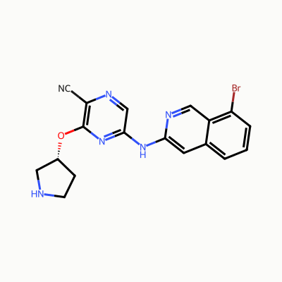 N#Cc1ncc(Nc2cc3cccc(Br)c3cn2)nc1O[C@@H]1CCNC1